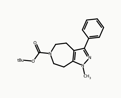 Cn1nc(-c2ccccc2)c2c1CCN(C(=O)OC(C)(C)C)CC2